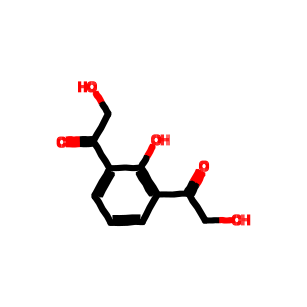 O=C(CO)c1cccc(C(=O)CO)c1O